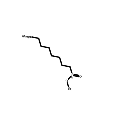 CCCCCCCCCCCCCC[PH](=O)OCC